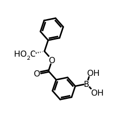 O=C(O[C@H](C(=O)O)c1ccccc1)c1cccc(B(O)O)c1